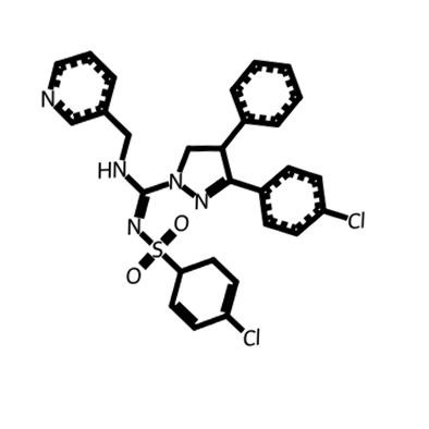 O=S(=O)(/N=C(/NCc1cccnc1)N1CC(c2ccccc2)C(c2ccc(Cl)cc2)=N1)C1C=CC(Cl)=CC1